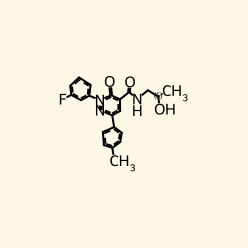 Cc1ccc(-c2cc(C(=O)NC[C@H](C)O)c(=O)n(-c3cccc(F)c3)n2)cc1